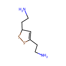 NCCC1=CC(CCN)SS1